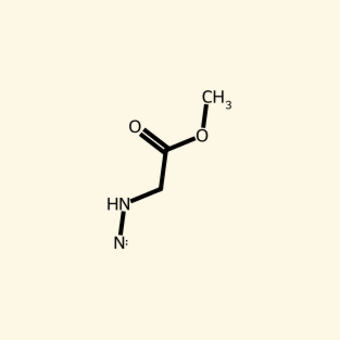 COC(=O)CN[N]